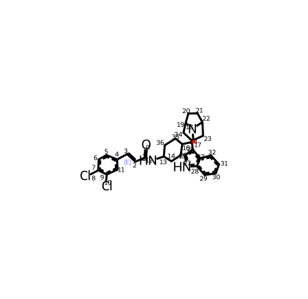 O=C(/C=C/c1ccc(Cl)c(Cl)c1)NC1CCC(CN2C3CCC2CC(c2c[nH]c4ccccc24)C3)CC1